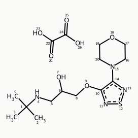 CC(C)(C)NCC(O)COc1nsnc1N1CCOCC1.O=C(O)C(=O)O